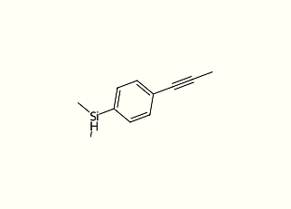 CC#Cc1ccc([SiH](C)C)cc1